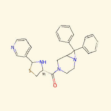 O=C([C@@H]1CSC(c2cccnc2)N1)N1CCN2C(C1)C2(c1ccccc1)c1ccccc1